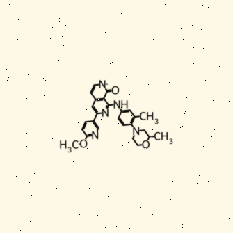 COc1ccc(-c2cc3c(c(Nc4ccc(N5CCO[C@H](C)C5)c(C)c4)n2)C(=O)[N]C=C3)cn1